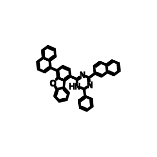 c1ccc(C2N=C(c3ccc4ccccc4c3)N=C(c3ccc(-c4cccc5ccccc45)c4oc5ccccc5c34)N2)cc1